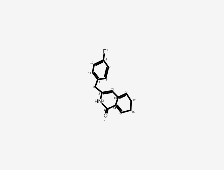 O=c1[nH]c(Cc2ccc(F)cc2)cc2c1=CCCC=2